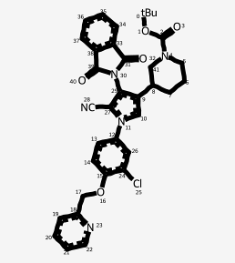 CC(C)(C)OC(=O)N1CCCC(c2cn(-c3ccc(OCc4ccccn4)c(Cl)c3)c(C#N)c2N2C(=O)c3ccccc3C2=O)C1